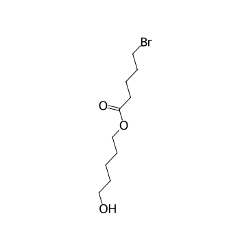 O=C(CCCCBr)OCCCCCO